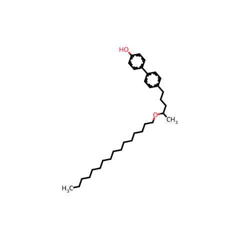 CCCCCCCCCCCCCCCCOC(C)CCCc1ccc(-c2ccc(O)cc2)cc1